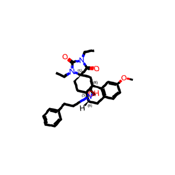 CCN1C(=O)N(CC)[C@]2(CC[C@@]3(O)[C@H]4Cc5ccc(OC)cc5[C@@]3(CCN4CCc3ccccc3)C2)C1=O